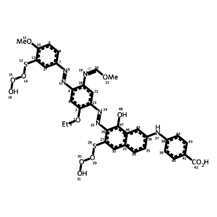 CCOc1cc(N=Nc2ccc(OC)c(SOOO)c2)c(/N=C\OC)cc1N=Nc1c(SOOO)cc2ccc(Nc3ccc(C(=O)O)cc3)cc2c1O